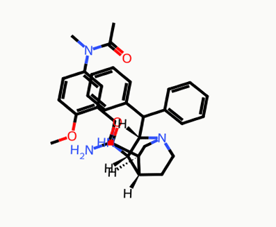 COc1ccc(N(C)C(C)=O)cc1CN[C@H]1[C@H]2CCN(C[C@@H]2C(N)=O)[C@H]1C(c1ccccc1)c1ccccc1